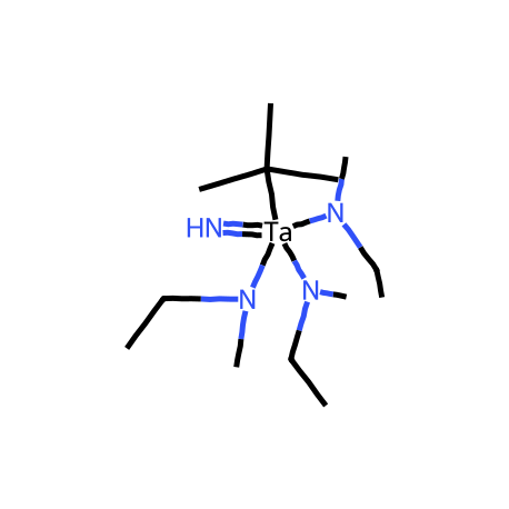 CC[N](C)[Ta](=[NH])([N](C)CC)([N](C)CC)[C](C)(C)C